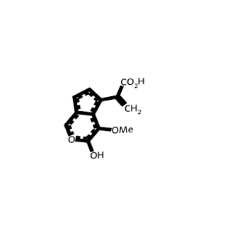 C=C(C(=O)O)c1ccc2coc(O)c(OC)c1-2